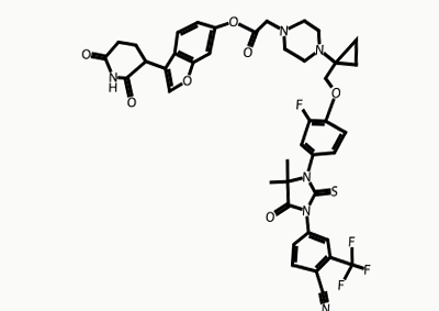 CC1(C)C(=O)N(c2ccc(C#N)c(C(F)(F)F)c2)C(=S)N1c1ccc(OCC2(N3CCN(CC(=O)Oc4ccc5c(C6CCC(=O)NC6=O)coc5c4)CC3)CC2)c(F)c1